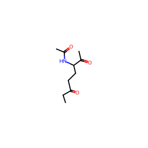 CCC(=O)CCC(NC(C)=O)C(C)=O